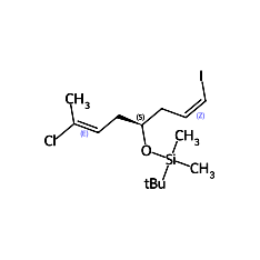 C/C(Cl)=C\C[C@@H](C/C=C\I)O[Si](C)(C)C(C)(C)C